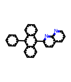 c1ccc(-c2c3ccccc3c(-c3ccc4cccnc4n3)c3ccccc23)cc1